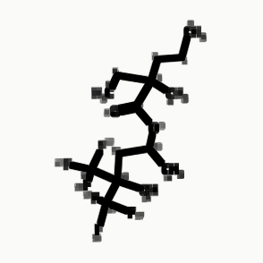 CCCC(C)(CC)C(=O)OC(C)CC(O)(C(F)(F)F)C(F)(F)F